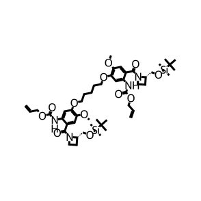 C=CCOC(=O)Nc1cc(OCCCCCOc2cc(NC(=O)OCC=C)c(C(=O)N3CC[C@H]3CO[Si](C)(C)C(C)(C)C)cc2OC)c(OC)cc1C(=O)N1CC[C@H]1CO[Si](C)(C)C(C)(C)C